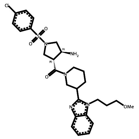 COCCCn1c(C2CCCN(C(=O)[C@@H]3CN(S(=O)(=O)c4ccc(Cl)cc4)C[C@H]3N)C2)nc2ccccc21